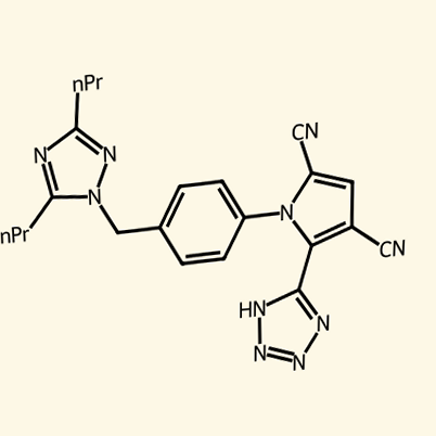 CCCc1nc(CCC)n(Cc2ccc(-n3c(C#N)cc(C#N)c3-c3nnn[nH]3)cc2)n1